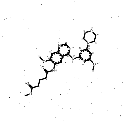 COC(=O)CCCC(=O)Nc1cc2c(Nc3nc(OC)cc(N4CCOCC4)n3)ncnc2cc1OC